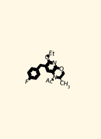 CCOc1nc2c(cc1Cc1ccc(F)cc1)N(C(C)=O)[C@@H](C)CO2